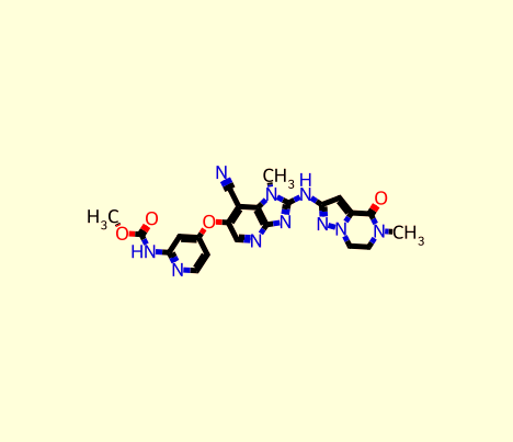 COC(=O)Nc1cc(Oc2cnc3nc(Nc4cc5n(n4)CCN(C)C5=O)n(C)c3c2C#N)ccn1